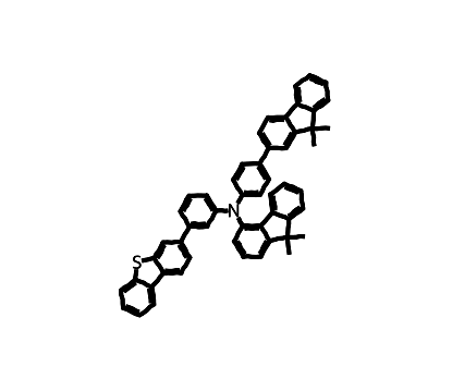 CC1(C)c2ccccc2-c2ccc(-c3ccc(N(c4cccc(-c5ccc6c(c5)sc5ccccc56)c4)c4cccc5c4-c4ccccc4C5(C)C)cc3)cc21